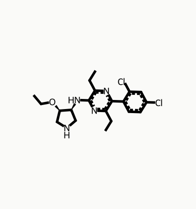 CCO[C@@H]1CNC[C@@H]1Nc1nc(CC)c(-c2ccc(Cl)cc2Cl)nc1CC